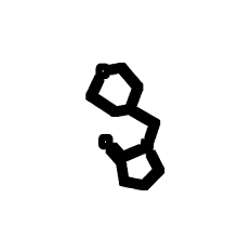 O=C1CCCN1CC1CCOCC1